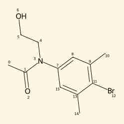 CC(=O)N(CCO)c1cc(C)c(Br)c(C)c1